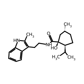 Cc1[nH]c2ccccc2c1CCNC(=O)[C@]1(O)C[C@H](C)CC[C@H]1C(C)C